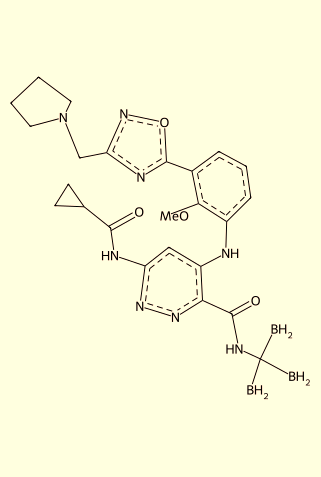 BC(B)(B)NC(=O)c1nnc(NC(=O)C2CC2)cc1Nc1cccc(-c2nc(CN3CCCC3)no2)c1OC